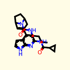 CCCCNC(=O)N1C2C=C(c3cc(NC(=O)C4CC4)nc4[nH]ccc34)CC1CC2